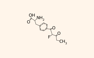 CCC(=O)C(F)C(=O)c1ccc(CC(N)C(=O)O)cc1